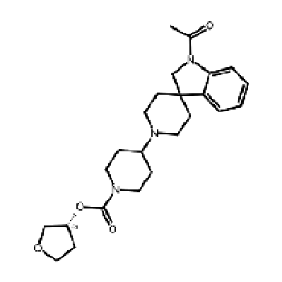 CC(=O)N1CC2(CCN(C3CCN(C(=O)O[C@@H]4CCOC4)CC3)CC2)c2ccccc21